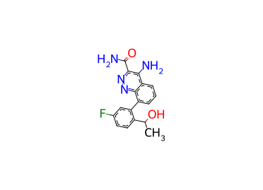 CC(O)c1ccc(F)cc1-c1cccc2c(N)c(C(N)=O)nnc12